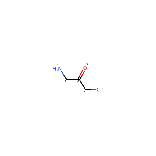 N[CH]C(=O)CCl